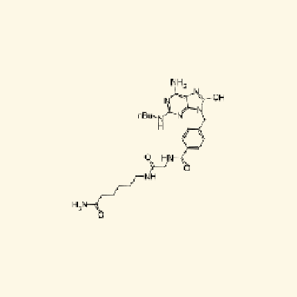 CCCCNc1nc(N)c2nc(O)n(Cc3ccc(C(=O)NCC(=O)NCCCCCC(N)=O)cc3)c2n1